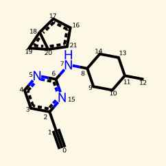 C#Cc1ccnc(NC2CCC(C)CC2)n1.c1cc2cc-2c1